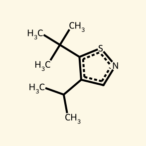 CC(C)c1cnsc1C(C)(C)C